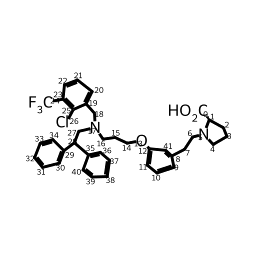 O=C(O)[C@H]1CCCN1CCc1cccc(OCCCN(Cc2cccc(C(F)(F)F)c2Cl)CC(c2ccccc2)c2ccccc2)c1